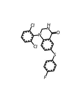 O=C1NCN(c2c(Cl)cccc2Cl)c2ccc(Sc3ccc(F)cc3)cc21